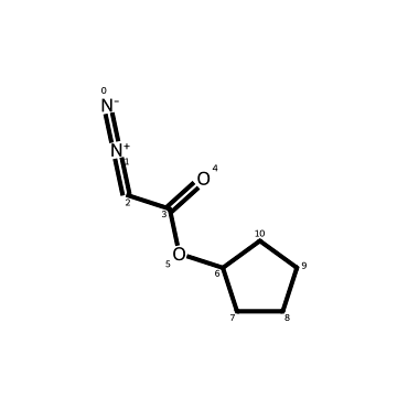 [N-]=[N+]=CC(=O)OC1CCCC1